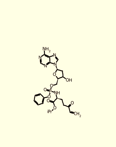 C=CC(=O)CC[C@H](NP(=O)(OC[C@H]1O[C@@H](n2cnc3c(N)ncnc32)CC1O)Oc1ccccc1)C(=O)OC(C)C